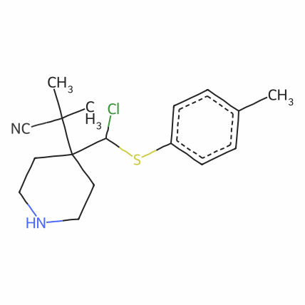 Cc1ccc(SC(Cl)C2(C(C)(C)C#N)CCNCC2)cc1